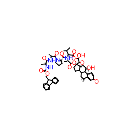 CCC(=O)O[C@]1(C(=O)C(O)OC(=O)[C@@H](NC(=O)[C@@H]2CCCN2C(=O)[C@H](C)NC(=O)[C@H](C)NC(=O)OCC2c3ccccc3-c3ccccc32)C(C)C)CCC2C3C[C@H](C)C4=CC(=O)C=C[C@]4(C)C3[C@@H](O)C[C@@]21C